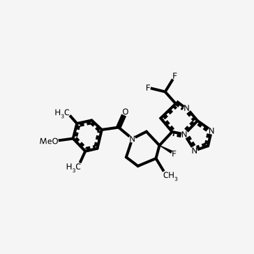 COc1c(C)cc(C(=O)N2CCC(C)[C@@](F)(c3cc(C(F)F)nc4ncnn34)C2)cc1C